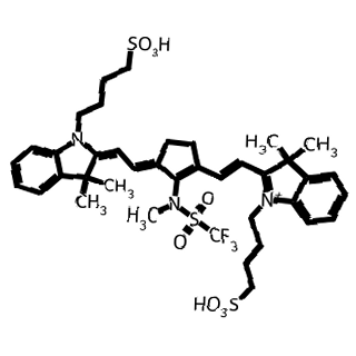 CN(C1=C(/C=C/C2=[N+](CCCCS(=O)(=O)O)c3ccccc3C2(C)C)CC/C1=C\C=C1\N(CCCCS(=O)(=O)O)c2ccccc2C1(C)C)S(=O)(=O)C(F)(F)F